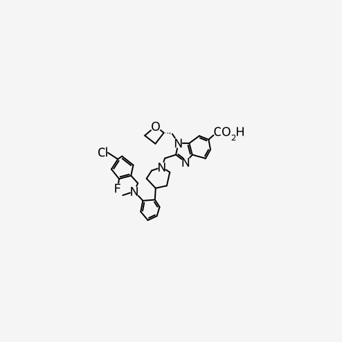 CN(Cc1ccc(Cl)cc1F)c1ccccc1C1CCN(Cc2nc3ccc(C(=O)O)cc3n2C[C@@H]2CCO2)CC1